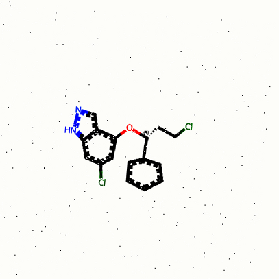 ClCC[C@@H](Oc1cc(Cl)cc2[nH]ncc12)c1ccccc1